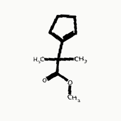 COC(=O)C(C)(C)C1=CCCC1